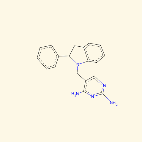 Nc1ncc(CN2c3ccccc3CC2c2ccccc2)c(N)n1